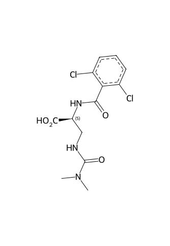 CN(C)C(=O)NC[C@H](NC(=O)c1c(Cl)cccc1Cl)C(=O)O